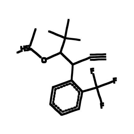 C#CC(c1ccccc1C(F)(F)F)C(O[SiH](C)C)C(C)(C)C